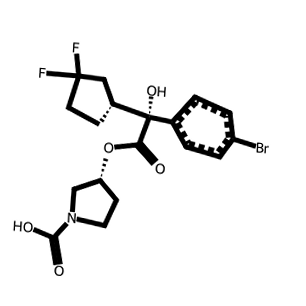 O=C(O)N1CC[C@@H](OC(=O)[C@](O)(c2ccc(Br)cc2)[C@@H]2CCC(F)(F)C2)C1